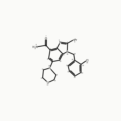 CCCc1nc2c(C(N)=O)cc(N3CCOCC3)cc2n1Cc1ccccc1Cl